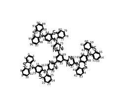 c1ccc2c(c1)Sc1ccccc1N2c1ccc2c(c1)Sc1ccccc1N2c1cnc(-c2cc(-c3ncc(N4c5ccccc5Sc5cc(N6c7ccccc7Sc7ccccc76)ccc54)cn3)cc(-c3ncc(N4c5ccccc5Sc5cc(N6c7ccccc7Sc7ccccc76)ccc54)cn3)c2)nc1